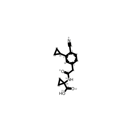 N#Cc1ccc(CC(=O)NC2(C(=O)O)CC2)cc1C1CC1